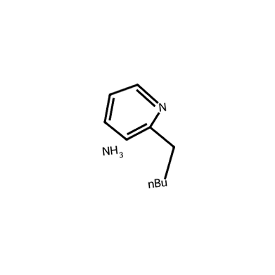 CCCCCc1ccccn1.N